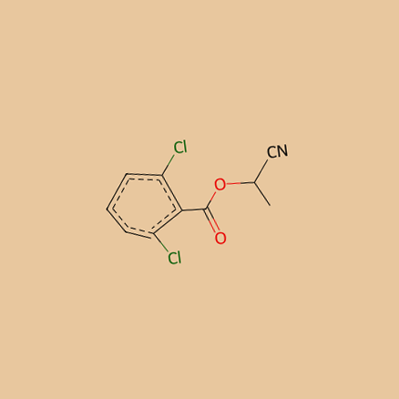 CC(C#N)OC(=O)c1c(Cl)cccc1Cl